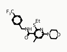 CCSc1nc(N2CCOCC2)cc(C)c1C(=O)NCc1ccc(C(F)(F)F)cc1